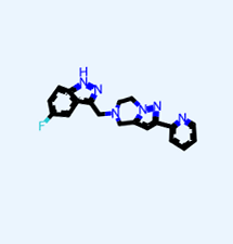 Fc1ccc2[nH]nc(CN3CCn4nc(-c5ccccn5)cc4C3)c2c1